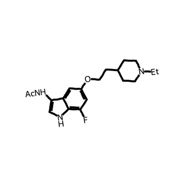 CCN1CCC(CCOc2cc(F)c3[nH]cc(NC(C)=O)c3c2)CC1